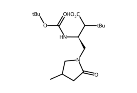 CC1CC(=O)N(C[C@@H](NC(=O)OC(C)(C)C)C(C(=O)O)C(C)(C)C)C1